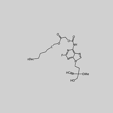 C#CC(CO)(CCn1cnc2c(NC(=O)OCC(=O)OCCCCCCCCCCCCCCCC)nc(F)nc21)OC